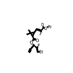 C#CC(OC(=O)C1C(/C=C(\F)C(=O)OC(C)C)C1(C)C)/C(F)=C/CC